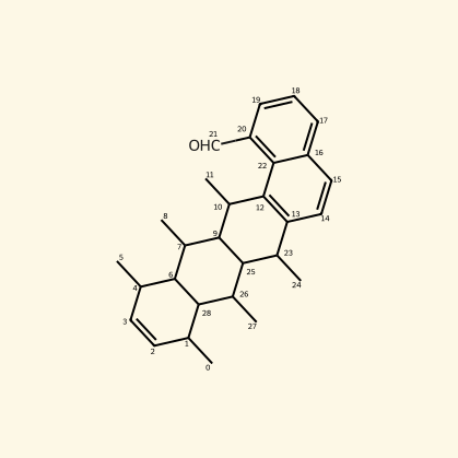 CC1C=CC(C)C2C(C)C3C(C)c4c(ccc5cccc(C=O)c45)C(C)C3C(C)C12